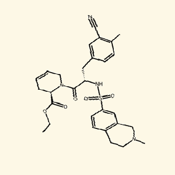 CCOC(=O)[C@H]1CC=CCN1C(=O)[C@H](Cc1ccc(C)c(C#N)c1)NS(=O)(=O)c1ccc2c(c1)CN(C)CC2